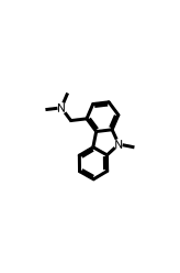 CN(C)Cc1cccc2c1c1ccccc1n2C